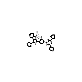 CC1(C)c2ccccc2-c2c(-c3ccccc3)sc(-c3ccc(-c4nc(-c5ccccc5)nc(-c5ccccc5)n4)cc3)c21